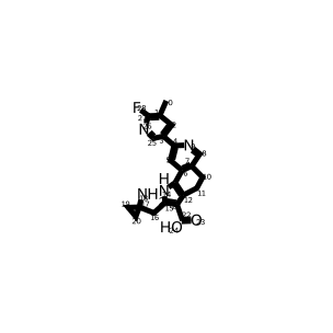 Cc1cc(-c2cc3c(cn2)CCc2c-3[nH]c(CC3(N)CC3)c2C(=O)O)cnc1F